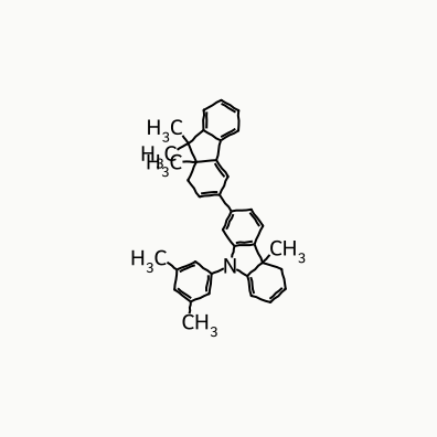 Cc1cc(C)cc(N2C3=CC=CCC3(C)c3ccc(C4=CCC5(C)C(=C4)c4ccccc4C5(C)C)cc32)c1